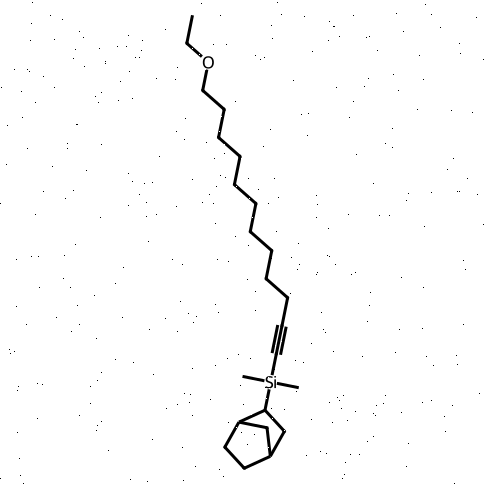 CCOCCCCCCCCCCC#C[Si](C)(C)C1CC2CCC1C2